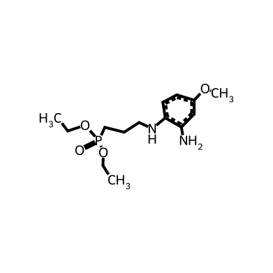 CCOP(=O)(CCCNc1ccc(OC)cc1N)OCC